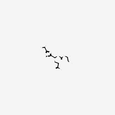 CC(=O)[C@H](N)c1noc([C@H](CCC(N)=O)NC(=O)N[C@@H](CO)C(=O)O)n1